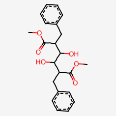 COC(=O)C(Cc1ccccc1)C(O)C(O)C(Cc1ccccc1)C(=O)OC